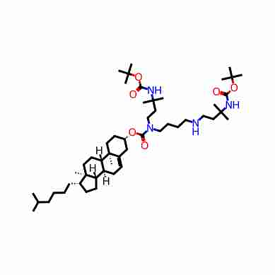 CC(C)CCCC[C@H]1CC[C@H]2[C@@H]3CC=C4C[C@@H](OC(=O)N(CCCCNCCC(C)(C)NC(=O)OC(C)(C)C)CCC(C)(C)NC(=O)OC(C)(C)C)CC[C@]4(C)[C@H]3CC[C@]12C